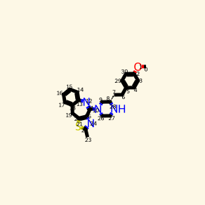 COc1ccc(CC[C@H]2CN(C3=Nc4ccccc4Cc4sc(C)nc43)CCN2)cc1